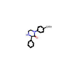 COc1ccc(N2CCNC(c3ccccc3)C2=O)cc1